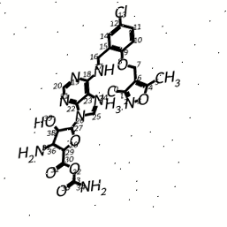 Cc1noc(C)c1COc1ccc(Cl)cc1CNc1ncnc2c1ncn2C1OC(C(=O)OC(N)=O)C(N)C1O